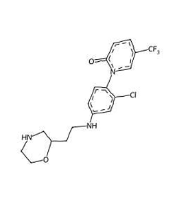 O=c1ccc(C(F)(F)F)cn1-c1ccc(NCCC2CNCCO2)cc1Cl